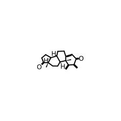 C=C1C(=C)[C@@]2(C)C(=CC1=O)CC[C@@H]1[C@@H]2CC[C@]2(C)C(=O)CC[C@@H]12